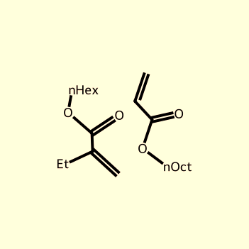 C=C(CC)C(=O)OCCCCCC.C=CC(=O)OCCCCCCCC